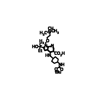 CCC(C)(O)c1cc2c(NC3CCC(NC(=O)OC(C)(C)C)CC3)c(C(=O)O)cnc2n1COCC[Si](C)(C)C